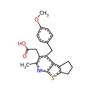 COc1ccc(Cc2c(CC(=O)O)c(C)nc3sc4c(c23)CCC4)cc1